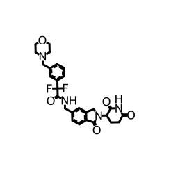 O=C1CCC(N2Cc3cc(CNC(=O)C(F)(F)c4cccc(CN5CCOCC5)c4)ccc3C2=O)C(=O)N1